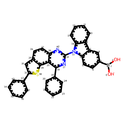 OB(O)c1ccc2c(c1)c1ccccc1n2-c1nc(-c2ccccc2)c2c(ccc3cc(-c4ccccc4)sc32)n1